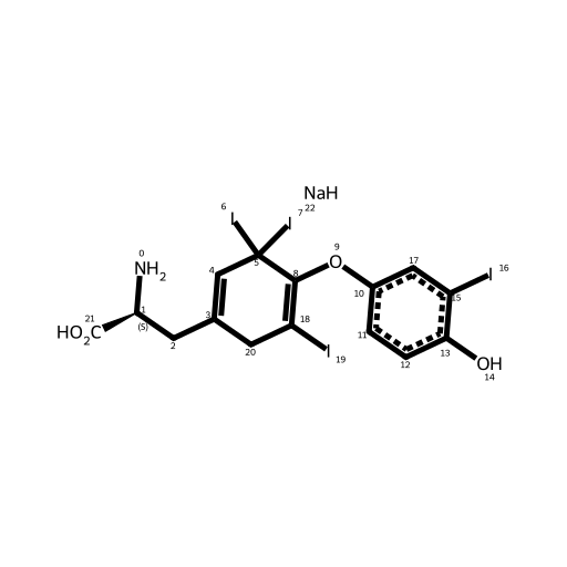 N[C@@H](CC1=CC(I)(I)C(Oc2ccc(O)c(I)c2)=C(I)C1)C(=O)O.[NaH]